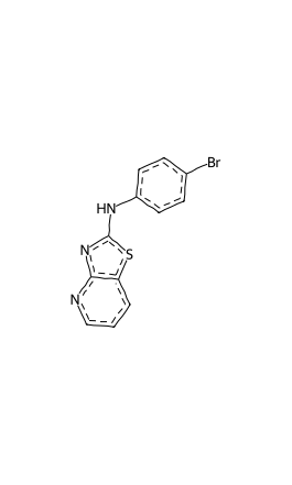 Brc1ccc(Nc2nc3ncccc3s2)cc1